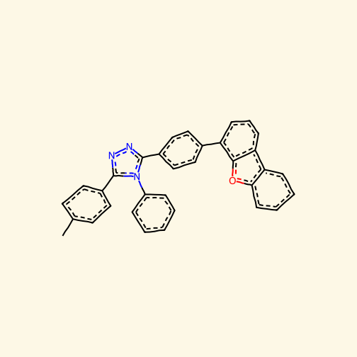 Cc1ccc(-c2nnc(-c3ccc(-c4cccc5c4oc4ccccc45)cc3)n2-c2ccccc2)cc1